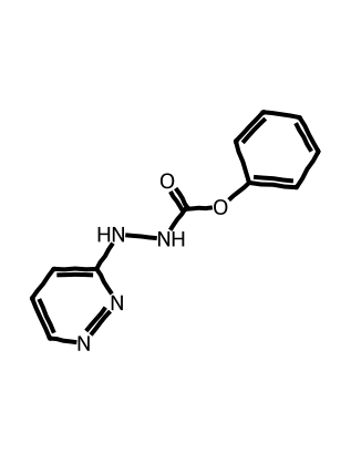 O=C(NNc1cccnn1)Oc1ccccc1